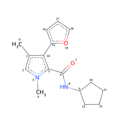 Cc1cn(C)c(C(=O)NC2CCCC2)c1-c1ccco1